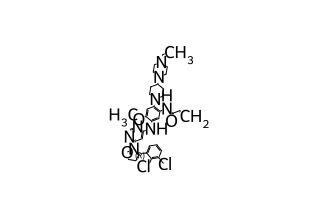 C=CC(=O)Nc1cc(Nc2cc(N3OCC[C@@H]3c3cccc(Cl)c3Cl)ncn2)c(OC)cc1N1CCC(N2CCN(CC)CC2)CC1